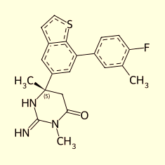 Cc1cc(-c2cc([C@]3(C)CC(=O)N(C)C(=N)N3)cc3ccsc23)ccc1F